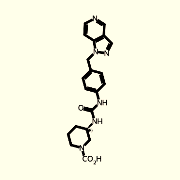 O=C(Nc1ccc(Cn2ncc3cnccc32)cc1)N[C@@H]1CCCN(C(=O)O)C1